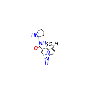 O=C(NCC1CCCCN1)C1=CC2CNC3=CC=CC(=C1S(=O)(=O)O)N32